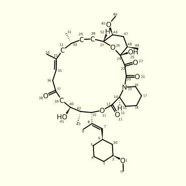 CO[C@H]1CCC[C@@H](/C=C(\C)[C@H]2OC(=O)[C@@H]3CCCCN3C(=O)C(=O)[C@]3(O)O[C@H](CC[C@@H](C)C/C(C)=C/CC(=O)C[C@H](O)[C@H]2C)[C@@H](OC)C[C@H]3C)C1